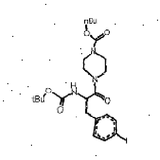 CCCCOC(=O)N1CCN(C(=O)C(Cc2ccc(I)cc2)NC(=O)OC(C)(C)C)CC1